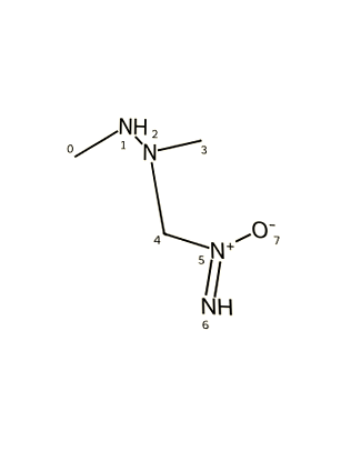 CNN(C)C[N+](=N)[O-]